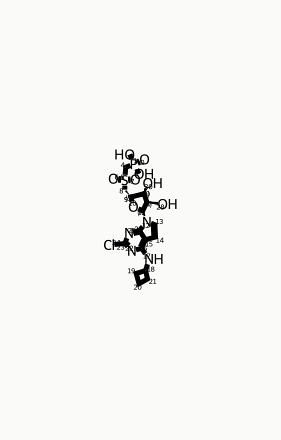 O=P(O)(O)CS(=O)(=O)C[C@H]1O[C@@H](n2ccc3c(NC4CCC4)nc(Cl)nc32)[C@H](O)[C@@H]1O